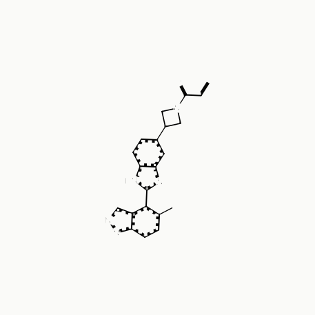 C=CC(=O)N1CC(c2ccc3[nH]c(-c4c(C)ccc5[nH]ncc45)nc3c2)C1